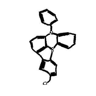 Clc1ccc2c(c1)-c1cccc3c1B2c1ccccc1N3c1ccccc1